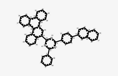 c1ccc(-c2nc(-c3ccc(-c4ccc5ccccc5c4)cc3)nc(-c3cc4c5ccccc5c5ccccc5c4c4ccccc34)n2)cc1